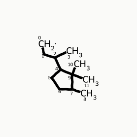 [CH2]CC(C)C1CCC(C)C1(C)C